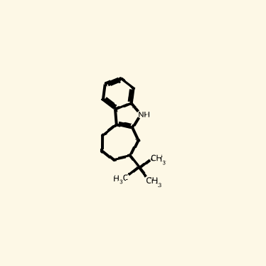 CC(C)(C)C1CCCc2c([nH]c3ccccc23)C1